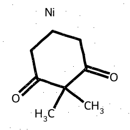 CC1(C)C(=O)CCCC1=O.[Ni]